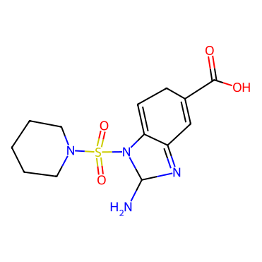 NC1N=C2C=C(C(=O)O)CC=C2N1S(=O)(=O)N1CCCCC1